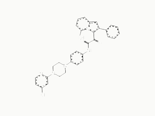 Cc1ccnc(N2CCN(c3ccc(NC(=O)C(=O)c4c(-c5ccccc5)cc5cccc(C)n45)cc3)CC2)c1